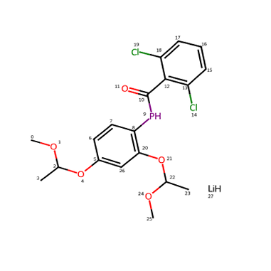 COC(C)Oc1ccc(PC(=O)c2c(Cl)cccc2Cl)c(OC(C)OC)c1.[LiH]